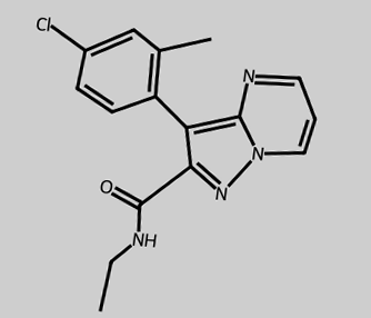 CCNC(=O)c1nn2cccnc2c1-c1ccc(Cl)cc1C